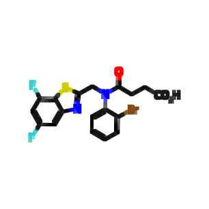 O=C(O)CCC(=O)N(Cc1nc2cc(F)cc(F)c2s1)c1ccccc1Br